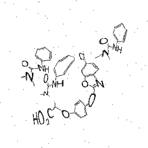 CC(Oc1ccc(Oc2nc3ccc(Cl)cc3o2)cc1)C(=O)O.CN(C)C(=O)Nc1ccccc1.CN(C)C(=O)Nc1ccccc1.CN(C)C(=O)Nc1ccccc1